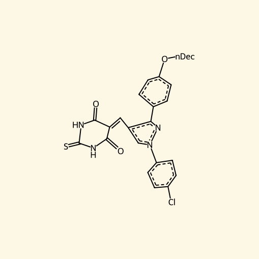 CCCCCCCCCCOc1ccc(-c2nn(-c3ccc(Cl)cc3)cc2C=C2C(=O)NC(=S)NC2=O)cc1